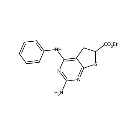 CCOC(=O)C1Cc2c(Nc3ccccc3)nc(N)nc2S1